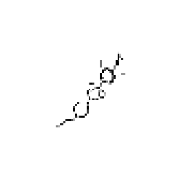 CCCC[C@H]1CC[C@H]([C@H]2CO[C@H](c3cc(F)c(C#N)c(F)c3)OC2)CC1